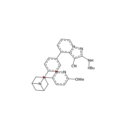 CCCCNc1nn2cccc(-c3ccc(N4CC5CC(C4)N5Cc4ccc(OC)nc4)nc3)c2c1C#N